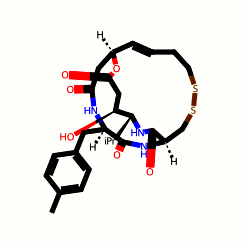 Cc1ccc(C[C@H]2NC(=O)C[C@H]3/C=C/CCSSC[C@@H](NC2=O)C(=O)N[C@H](C(C)C)[C@@H](O)CC(=O)O3)cc1